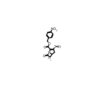 CCSC1=C(C(=O)OCc2ccc([N+](=O)[O-])cc2)N2C(=O)[C@@H](C)C2C1